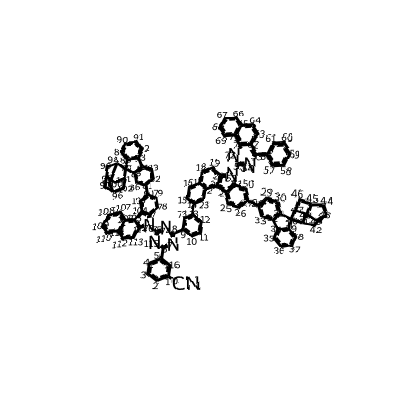 N#Cc1cccc(-c2nc(-c3cccc(-c4ccc5ccc6c(c5c4)c4ccc(-c5ccc7c(c5)-c5ccccc5C75C7CC8CC9CC5C97C8)cc4n6-c4nc(-c5ccccc5)c5ccc6ccccc6c5n4)c3)nc(-n3c4ccc(-c5ccc6c(c5)C5(c7ccccc7-6)C6CC7CC(C6)CC5C7)cc4c4c5ccccc5ccc43)n2)c1